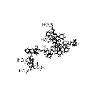 CC1(C)C(/C=C/C2=C(Oc3ccc(S(=O)(=O)O)cc3)C(=C/C=C3/N(CCCS(=O)(=O)O)c4ccccc4C3(C)CCCC(=O)N[C@@H](Cc3ccccc3)C(=O)N[C@@H](Cc3ccccc3)C(=O)NCC(=O)NCCNC(=O)[C@H](Cc3ccccc3)NC(=O)CC[C@H](NC(=O)N[C@@H](CCC(=O)O)C(=O)O)C(=O)O)/CCC2)=[N+](CCCS(=O)(=O)[O-])c2ccccc21